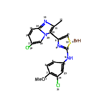 Br.COc1ccc(Nc2nc(-c3c(C)nc4ccc(Cl)cn34)cs2)cc1Cl